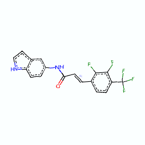 O=C(/C=C/c1ccc(C(F)(F)F)c(F)c1F)Nc1ccc2[nH]ccc2c1